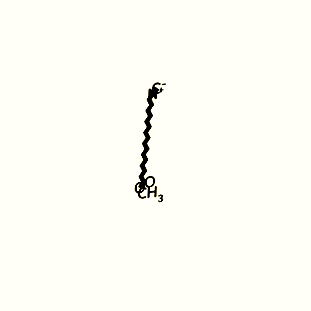 [C-]#[N+]CCCCCCCCCCCCCCCC(=O)OC